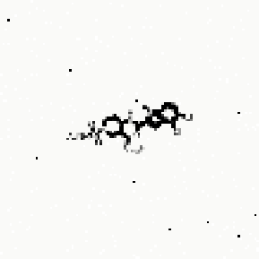 CC(=O)NS(=O)(=O)N1CCC(NC(=O)c2cc3c(Cl)c(Cl)ccc3n2C)C(CC(=O)O)C1